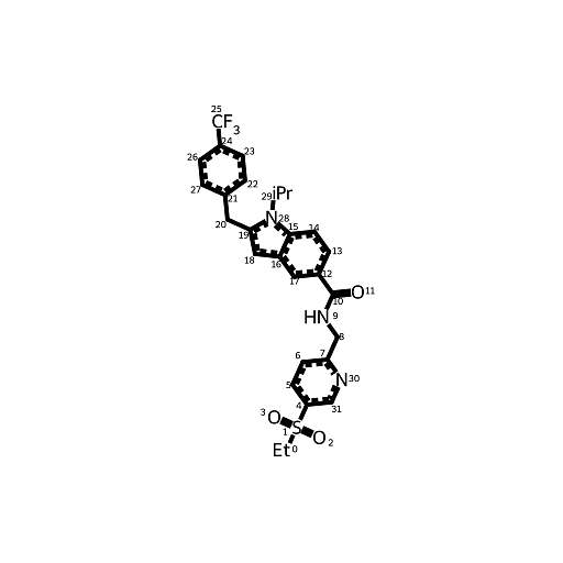 CCS(=O)(=O)c1ccc(CNC(=O)c2ccc3c(c2)cc(Cc2ccc(C(F)(F)F)cc2)n3C(C)C)nc1